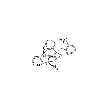 Cc1ccccc1C[C@]12C[C@H]1C[C@@]1(C)N[C@@](C)(c3ccccc32)c2ccccc21